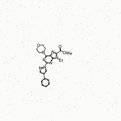 CCn1c(C(=O)OC)nc2c(N3CCOCC3)nc(-n3cc(-c4ccccc4)cn3)nc21